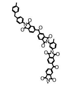 Cc1ccc(Cc2ccc(N3C(=O)c4ccc(C(=O)c5ccc6c(c5)C(=O)N(c5cc(N7C(=O)c8ccc(C(=O)c9ccc%10c(c9)C(=O)N(C)C%10=O)cc8C7=O)ccc5C)C6=O)cc4C3=O)cc2)cc1